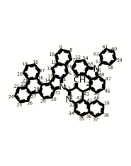 C=C1C(n2c3cc4ccccc4cc3c3c4c5ccccc5c5ccccc5c4ccc32)=Nc2ccc3ccccc3c2C1c1cccc2c1c1ccccc1n2-c1ccccc1